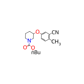 CCCCOC(=O)N1CCCC(Oc2ccc(C)c(C#N)c2)C1